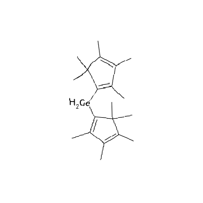 CC1=C(C)C(C)(C)[C]([GeH2][C]2=C(C)C(C)=C(C)C2(C)C)=C1C